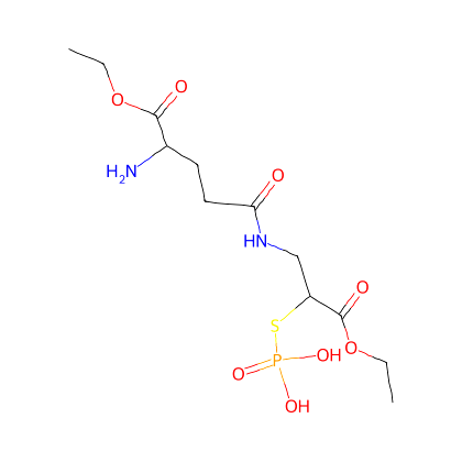 CCOC(=O)C(N)CCC(=O)NCC(SP(=O)(O)O)C(=O)OCC